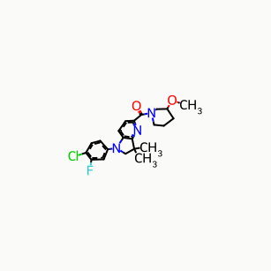 COC1CCCN(C(=O)c2ccc3c(n2)C(C)(C)CN3c2ccc(Cl)c(F)c2)C1